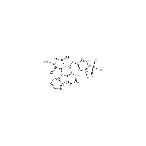 COC(=O)N(C1c2ccccc2-c2ccccc21)[C@@H](CCc1ccc(C(F)(F)F)c(Cl)c1)C(=O)O